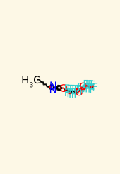 CCCCCCCc1cnc(-c2ccc(OCC(F)(F)C(F)(F)C(F)(F)C(F)(F)C(F)(F)OC(F)(F)C(F)(F)OC(F)(F)C(F)(F)C(F)(F)C(F)(F)F)cc2)nc1